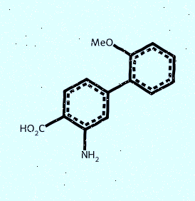 COc1ccccc1-c1ccc(C(=O)O)c(N)c1